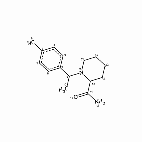 CC(c1ccc(C#N)cc1)N1CC[CH]CC1C(N)=O